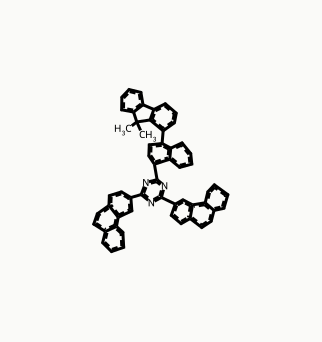 CC1(C)c2ccccc2-c2cccc(-c3ccc(-c4nc(-c5ccc6ccc7ccccc7c6c5)nc(-c5ccc6ccc7ccccc7c6c5)n4)c4ccccc34)c21